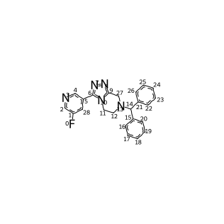 Fc1cncc(-c2nnc3n2CCN(C(c2ccccc2)c2ccccc2)C3)c1